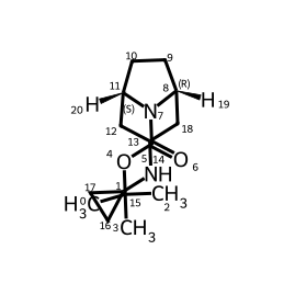 CC(C)(C)OC(=O)N1[C@@H]2CC[C@H]1CC(NC1CC1)C2